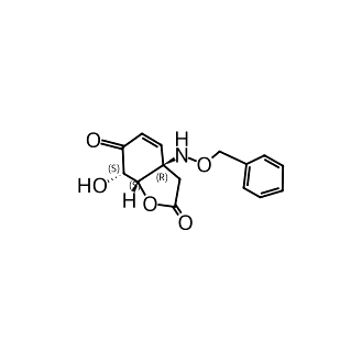 O=C1C[C@@]2(NOCc3ccccc3)C=CC(=O)[C@@H](O)[C@H]2O1